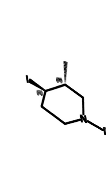 CC(C)N1CC[C@@H](I)[C@H](C)C1